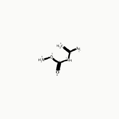 C=C(NC(=O)ON)C(C)=O